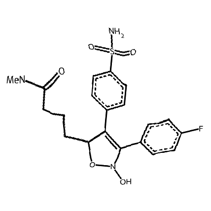 CNC(=O)CCCC1ON(O)C(c2ccc(F)cc2)=C1c1ccc(S(N)(=O)=O)cc1